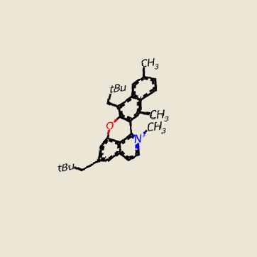 Cc1ccc2c(C)c3c(c(CC(C)(C)C)c2c1)Oc1cc(CC(C)(C)C)cc2cc[n+](C)c-3c12